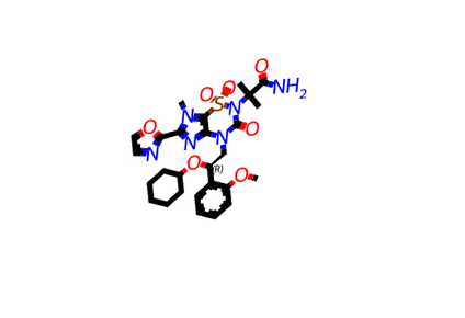 COc1ccccc1[C@H](CN1C(=O)N(C(C)(C)C(N)=O)S(=O)(=O)c2c1nc(-c1ncco1)n2C)OC1CCCCC1